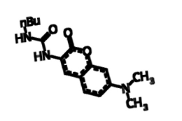 CCCCNC(=O)Nc1cc2ccc(N(C)C)cc2oc1=O